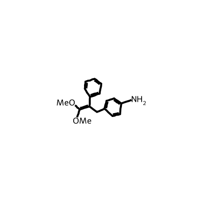 COC(OC)=C(Cc1ccc(N)cc1)c1ccccc1